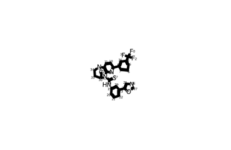 FC(F)(F)c1cccc(-c2ccc3c(n2)N(C(=S)Nc2cccc(-c4cnco4)c2)C2CCN3CC2)c1